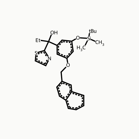 CCC(O)(c1cc(OCc2ccc3ccccc3c2)cc(O[Si](C)(C)C(C)(C)C)c1)c1nccs1